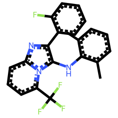 Cc1cccc(C)c1Nc1c(-c2ccccc2F)nc2cccc(C(F)(F)F)n12